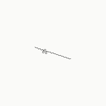 CCCCCCCCCCCCCCCCCCCC(=O)OC(=O)CCCCCCC